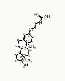 C[C@]12CC[C@H](OCCNC(=N)N)C=C1CCC1C2CC[C@@]2(C)C1CC[C@@H]2O